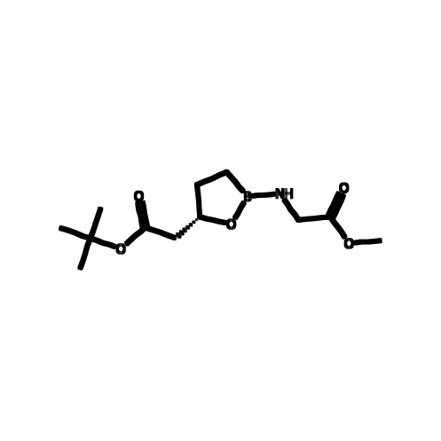 COC(=O)CNB1CC[C@@H](CC(=O)OC(C)(C)C)O1